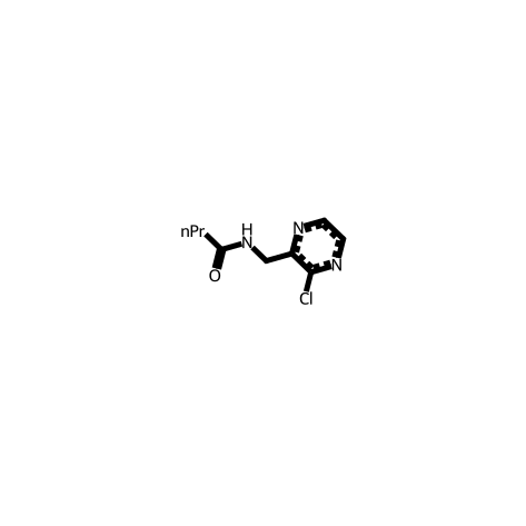 CCCC(=O)NCc1nccnc1Cl